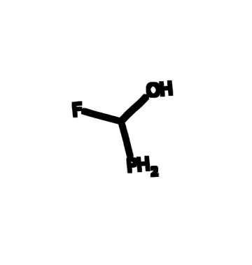 OC(F)P